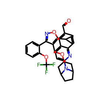 O=Cc1ccc2nc(N3C4CCC3CC(OCc3c(-c5ccccc5OC(F)(F)F)noc3C3CC3)C4)ccc2c1